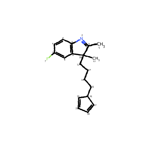 CC1=Nc2ccc(F)cc2C1(C)CCCCC1C=CC=C1